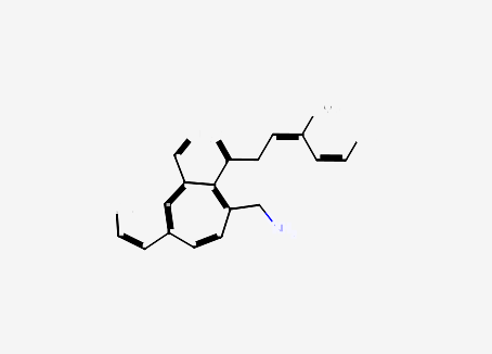 C=CC1=C=C(/C=C\C)C=CC(CN)=C1C(=C)CC=C(/C=C\C)OC